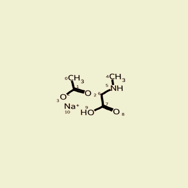 CC(=O)[O-].CNCC(=O)O.[Na+]